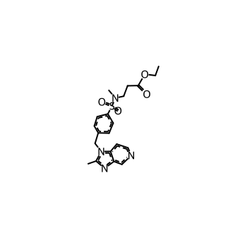 CCOC(=O)CCN(C)S(=O)(=O)c1ccc(Cn2c(C)nc3cnccc32)cc1